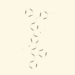 CC(C)c1ccc(N(c2ccc(C(C)C)cc2)c2ccc3c(c2)C(C)(C)c2cc4c(cc2-3)C(C)(C)c2cc(-c3ccccc3)c3ccccc3c2-4)cc1